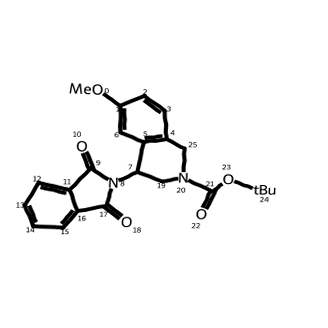 COc1ccc2c(c1)C(N1C(=O)c3ccccc3C1=O)CN(C(=O)OC(C)(C)C)C2